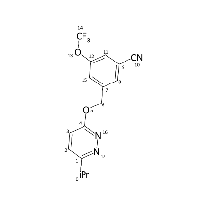 CC(C)c1ccc(OCc2cc(C#N)cc(OC(F)(F)F)c2)nn1